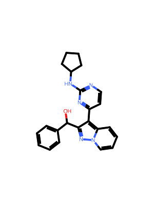 OC(c1ccccc1)c1nn2ccccc2c1-c1ccnc(NC2CCCC2)n1